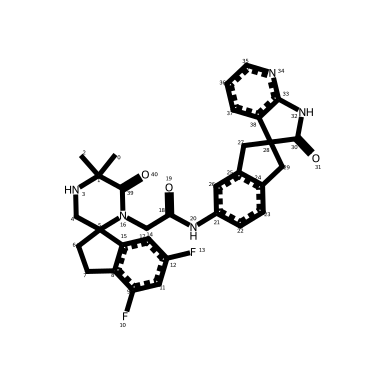 CC1(C)NCC2(CCc3c(F)cc(F)cc32)N(CC(=O)Nc2ccc3c(c2)CC2(C3)C(=O)Nc3ncccc32)C1=O